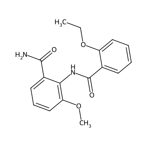 CCOc1ccccc1C(=O)Nc1c(OC)cccc1C(N)=O